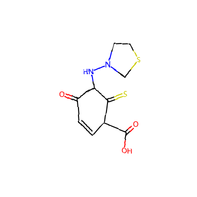 O=C(O)C1C=CC(=O)C(NN2CCSC2)C1=S